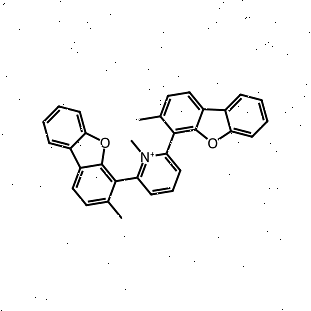 Cc1ccc2c(oc3ccccc32)c1-c1cccc(-c2c(C)ccc3c2oc2ccccc23)[n+]1C